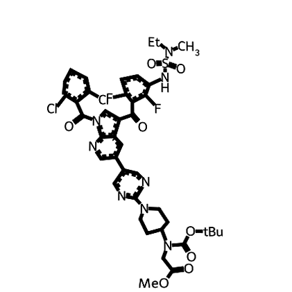 CCN(C)S(=O)(=O)Nc1ccc(F)c(C(=O)c2cn(C(=O)c3c(Cl)cccc3Cl)c3ncc(-c4cnc(N5CCC(N(CC(=O)OC)C(=O)OC(C)(C)C)CC5)nc4)cc23)c1F